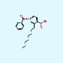 CCCCCCCCc1ccccc1C(=O)O.O=C(O)c1ccccc1